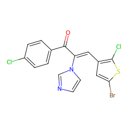 O=C(C(=Cc1cc(Br)sc1Cl)n1ccnc1)c1ccc(Cl)cc1